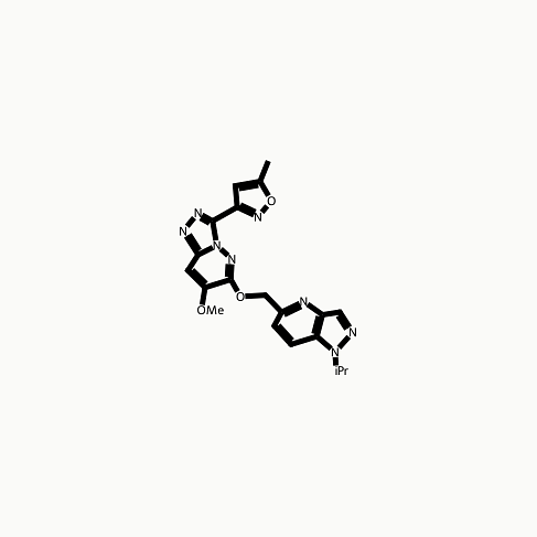 COc1cc2nnc(-c3cc(C)on3)n2nc1OCc1ccc2c(cnn2C(C)C)n1